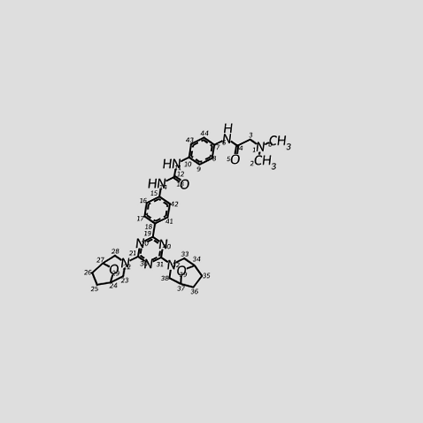 CN(C)CC(=O)Nc1ccc(NC(=O)Nc2ccc(-c3nc(N4CC5CCC(C4)O5)nc(N4CC5CCC(C4)O5)n3)cc2)cc1